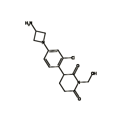 NC1CN(c2ccc(C3CCC(=O)N(CO)C3=O)c(Cl)c2)C1